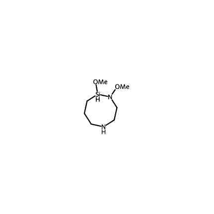 CON1CCNCCC[SiH]1OC